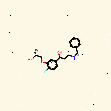 CCCC(CCC)COc1cc(C(O)CCN[C@@H](C)c2ccccc2)ccc1F